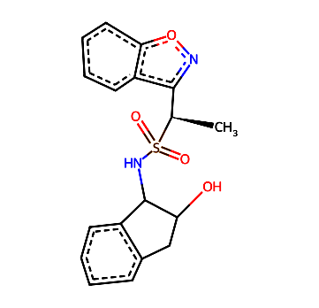 C[C@H](c1noc2ccccc12)S(=O)(=O)NC1c2ccccc2CC1O